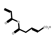 C=CC(=O)OC(=O)CC=CC(=O)O